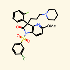 COc1ccc2c(n1)C(CCCN1CCCCC1)(c1ccccc1F)C(=O)N2S(=O)(=O)c1cccc(Cl)c1